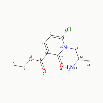 CCOC(=O)c1ccc(Cl)n(C[C@H](C)N)c1=O